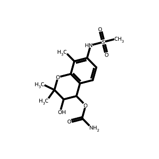 Cc1c(NS(C)(=O)=O)ccc2c1OC(C)(C)C(O)C2OC(N)=O